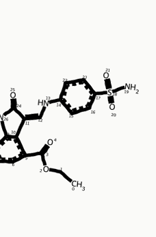 CCOC(=O)c1cccc2c1C(=CNc1ccc(S(N)(=O)=O)cc1)C(=O)N2